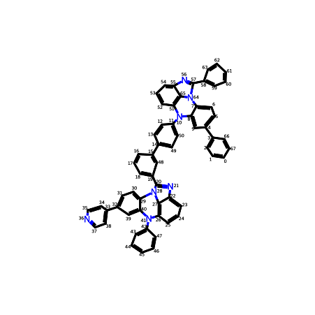 c1ccc(-c2ccc3c(c2)N(c2ccc(-c4cccc(-c5nc6cccc7c6n5-c5ccc(-c6ccncc6)cc5N7c5ccccc5)c4)cc2)c2cccc4nc(-c5ccccc5)n-3c24)cc1